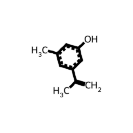 C=C(C)c1cc(C)cc(O)c1